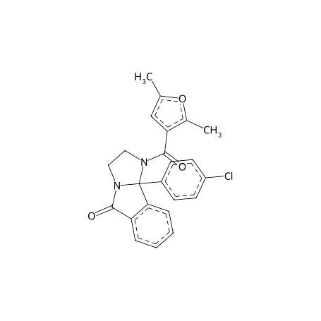 Cc1cc(C(=O)N2CCN3C(=O)c4ccccc4C32c2ccc(Cl)cc2)c(C)o1